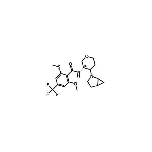 COc1cc(C(F)(F)F)cc(SC)c1C(=O)N[C@@H]1COCCC1N1CCC2CC21